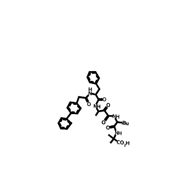 CCC(C)C(NC(=O)C(=O)C(C)NC(=O)C(Cc1ccccc1)NC(=O)Cc1ccc(-c2ccccc2)cc1)C(=O)NC(C)(C)C(=O)O